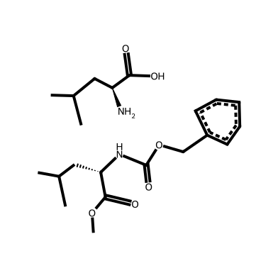 CC(C)C[C@H](N)C(=O)O.COC(=O)[C@H](CC(C)C)NC(=O)OCc1ccccc1